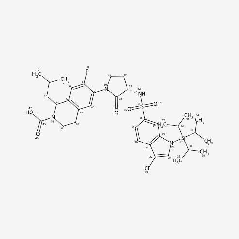 CC(C)CC1c2cc(F)c(N3CC[C@H](NS(=O)(=O)c4ccc5c(Cl)cn([Si](C(C)C)(C(C)C)C(C)C)c5c4)C3=O)cc2CCN1C(=O)O